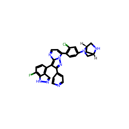 Fc1ccc(-c2c(-c3ccncc3)nn3c(-c4ccc(N5C[C@@H]6C[C@H]5CN6)cc4Cl)ccnc23)c2cn[nH]c12